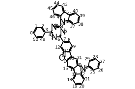 c1ccc(-c2nc(-c3ccc4c(c3)oc3cc5c6ccccc6n(-c6ccccc6)c5cc34)nc(-n3c4ccccc4c4ccccc43)n2)cc1